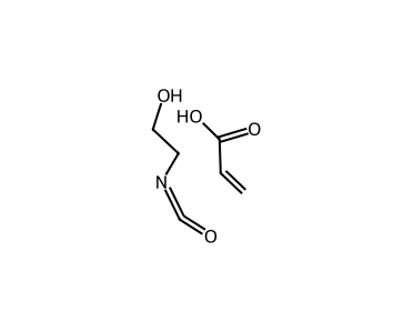 C=CC(=O)O.O=C=NCCO